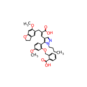 CCCCn1ncc(C=C(Cc2cc3c(cc2OC)OCC3)C(=O)O)c1-c1ccc(OC)cc1OCc1ccccc1C(=O)O